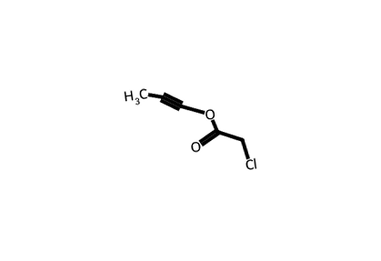 CC#COC(=O)CCl